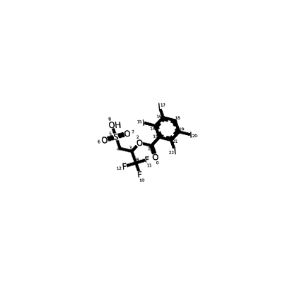 O=C(OC(CS(=O)(=O)O)C(F)(F)F)c1c(I)c(I)cc(I)c1I